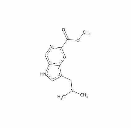 COC(=O)c1cc2c(CN(C)C)c[nH]c2cn1